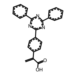 C=C(C(=O)O)c1ccc(-c2nc(-c3ccccc3)nc(-c3ccccc3)n2)cc1